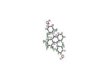 COc1cc(F)c(-c2c3ccccc3c(-c3c(F)cc(OC)cc3F)c3c(F)c(F)c(F)c(F)c23)c(F)c1